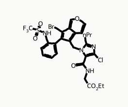 CCCc1nc(Cl)c(C(=O)NCC(=O)OCC)n1Cc1c2ccocc-2c(Br)c1-c1ccccc1NS(=O)(=O)C(F)(F)F